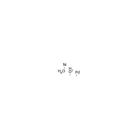 O.O.[Ni].[Pd]